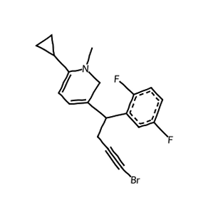 CN1CC(C(CC#CBr)c2cc(F)ccc2F)=CC=C1C1CC1